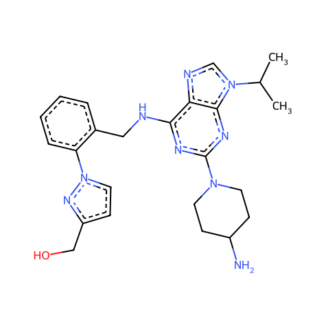 CC(C)n1cnc2c(NCc3ccccc3-n3ccc(CO)n3)nc(N3CCC(N)CC3)nc21